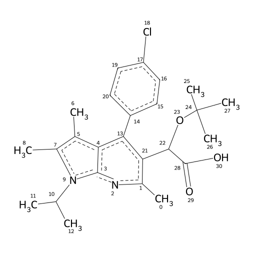 Cc1nc2c(c(C)c(C)n2C(C)C)c(-c2ccc(Cl)cc2)c1C(OC(C)(C)C)C(=O)O